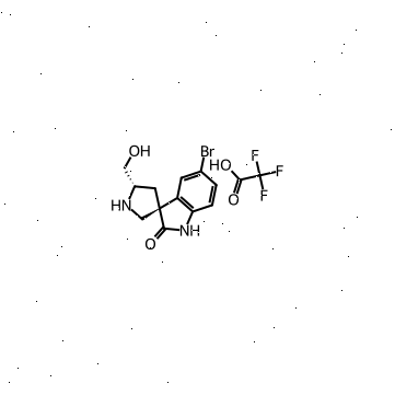 O=C(O)C(F)(F)F.O=C1Nc2ccc(Br)cc2[C@]12CN[C@H](CO)C2